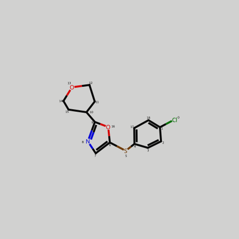 Clc1ccc(Sc2cnc(C3CCOCC3)o2)cc1